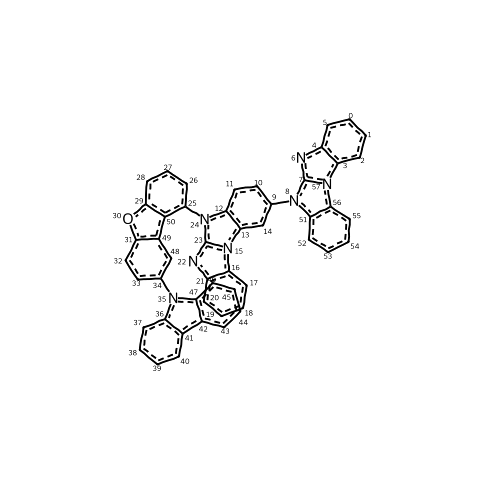 c1ccc2c(c1)nc1n(-c3ccc4c(c3)n3c5ccccc5nc3n4-c3cccc4oc5ccc(-n6c7ccccc7c7ccccc76)cc5c34)c3ccccc3n21